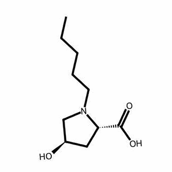 CCCCCN1C[C@H](O)C[C@H]1C(=O)O